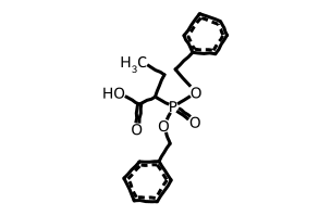 CCC(C(=O)O)P(=O)(OCc1ccccc1)OCc1ccccc1